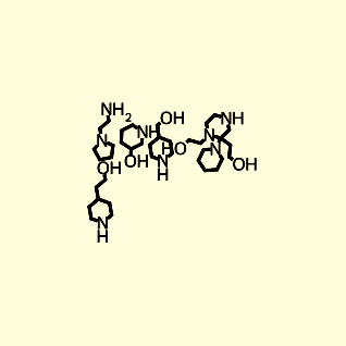 NCCN1CCCC1.OC1CCCNC1.OCC1CCNCC1.OCCC1CCNCC1.OCCN1CCNCC1(CCO)N1CCCCC1